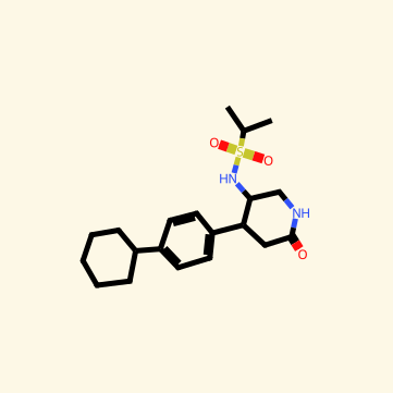 CC(C)S(=O)(=O)NC1CNC(=O)CC1c1ccc(C2CCCCC2)cc1